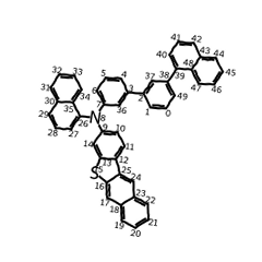 c1cc(-c2cccc(N(c3ccc4c(c3)sc3cc5ccccc5cc34)c3cccc4ccccc34)c2)cc(-c2cccc3ccccc23)c1